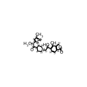 Cc1cc(N(C)C(=O)C2CCN(C[C@H](O)c3ccc4c(c3C)COC4=O)CC2)sn1